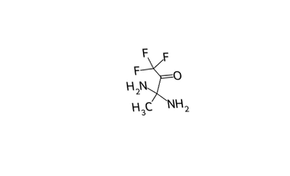 CC(N)(N)C(=O)C(F)(F)F